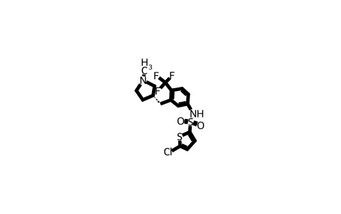 CN1CC[C@@H](Cc2cc(NS(=O)(=O)c3ccc(Cl)s3)ccc2C(F)(F)F)C1